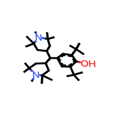 CN1C(C)(C)CC([C](c2cc(C(C)(C)C)c(O)c(C(C)(C)C)c2)C2CC(C)(C)N(C)C(C)(C)C2)CC1(C)C